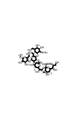 CC(=O)NC1[C@@H](O)[C@@H](O)C(CO)C[C@H]1O[C@H]1C(CO)O[C@@H](O[C@@H]2C(CO)O[C@@H](OC(C)C)C(O)[C@H]2O)C(O)[C@H]1O[C@]1(OC=O)C[C@@H](O)[C@@H](C)C([C@H](O)[C@@H](CO)O[C@]2(OC=O)C[C@@H](O)[C@@H](C)C([C@H](O)[C@H](O)CO)O2)O1